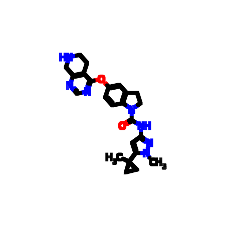 Cn1nc(NC(=O)N2CCc3cc(Oc4ncnc5c4CCNC5)ccc32)cc1C1(C)CC1